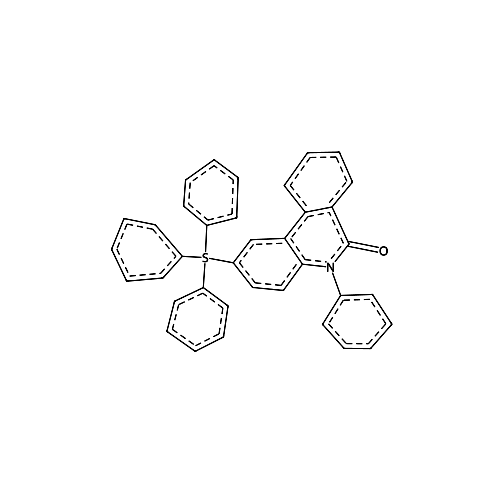 O=c1c2ccccc2c2cc(S(c3ccccc3)(c3ccccc3)c3ccccc3)ccc2n1-c1ccccc1